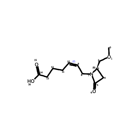 COC[C@H]1CC(=O)N1C/C=C\CCCC(=O)O